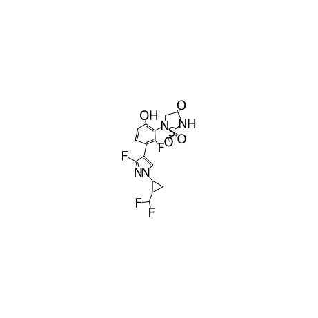 O=C1CN(c2c(O)ccc(-c3cn(C4CC4C(F)F)nc3F)c2F)S(=O)(=O)N1